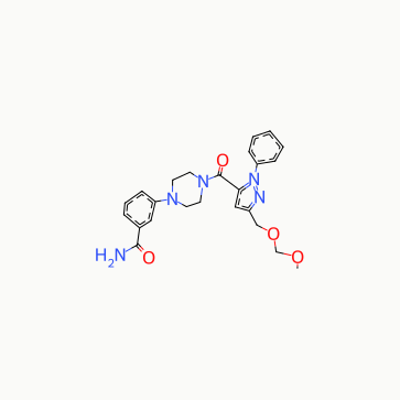 COCOCc1cc(C(=O)N2CCN(c3cccc(C(N)=O)c3)CC2)n(-c2ccccc2)n1